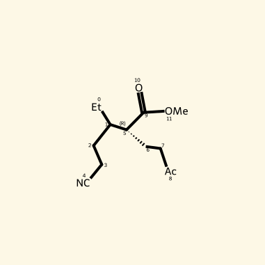 CCC(CCC#N)[C@@H](CCC(C)=O)C(=O)OC